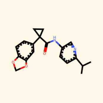 CC(C)c1ccc(NC(=O)C2(c3ccc4c(c3)OCO4)CC2)cn1